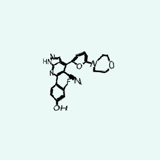 N#Cc1c(-c2ccc(O)cc2F)nc2[nH]ncc2c1-c1ccc(N2CCOCC2)o1